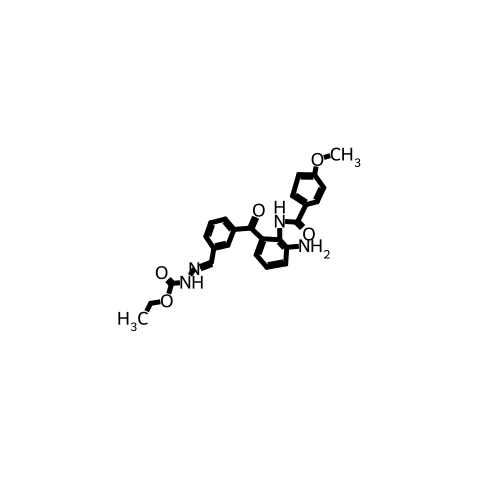 CCOC(=O)NN=Cc1cccc(C(=O)c2cccc(N)c2NC(=O)c2ccc(OC)cc2)c1